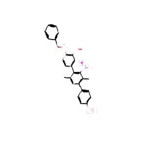 COc1cc(-c2c(C)cc(-c3ccc(O)cc3)c(C)c2[N+](=O)[O-])ccc1OCc1ccccc1